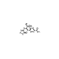 COC(=O)c1ccc(C=C(CN2CCCC2=O)C(=O)O)cc1